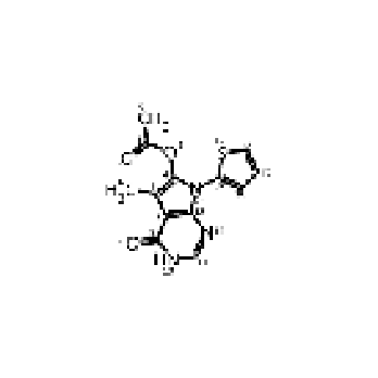 CC(=O)Oc1c(C)c2c(=O)[nH]cnc2n1-c1cccs1